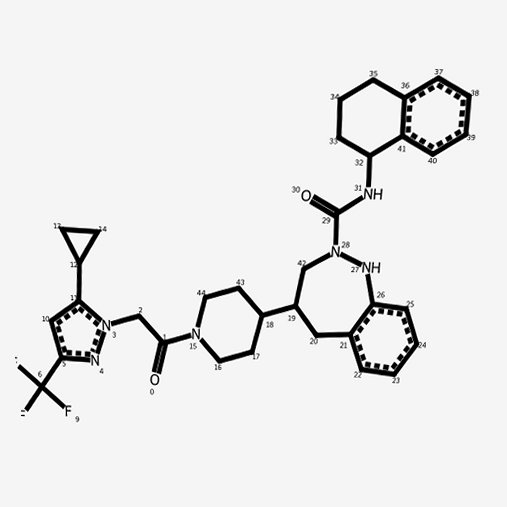 O=C(Cn1nc(C(F)(F)F)cc1C1CC1)N1CCC(C2Cc3ccccc3NN(C(=O)NC3CCCc4ccccc43)C2)CC1